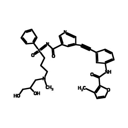 Cc1ccoc1C(=O)Nc1cccc(C#Cc2cncc(C(=O)N=S(=O)(CCCN(C)CC(O)CO)c3ccccc3)c2)c1